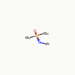 CC(C)N=S(=O)(C(C)(C)C)C(C)(C)C